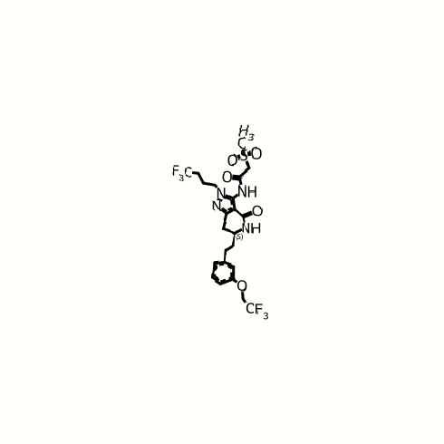 CS(=O)(=O)CC(=O)Nc1c2c(nn1CCCC(F)(F)F)C[C@H](CCc1cccc(OCC(F)(F)F)c1)NC2=O